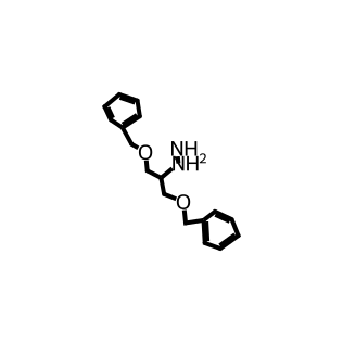 NNC(COCc1ccccc1)COCc1ccccc1